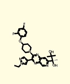 CCn1cc(-c2nc3cnc([C@](C)(O)C(C)(C)O)cc3nc2N2CCC(Oc3ccc(F)cc3F)CC2)cn1